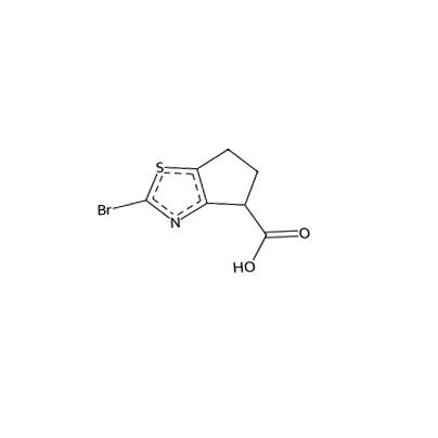 O=C(O)C1CCc2sc(Br)nc21